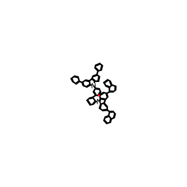 c1ccc(-c2ccc3c(c2)c2cc(-c4ccccc4)ccc2n3-c2cccc(-c3ccccc3-n3c4ccc(-c5cccc6ccccc56)cc4c4cc(-c5cccc6ccccc56)ccc43)c2)cc1